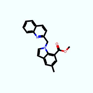 COC(=O)c1cc(C)cc2ccn(Cc3ccc4ccccc4n3)c12